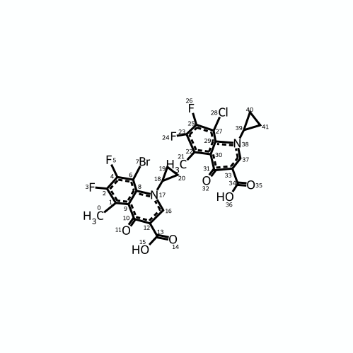 Cc1c(F)c(F)c(Br)c2c1c(=O)c(C(=O)O)cn2C1CC1.Cc1c(F)c(F)c(Cl)c2c1c(=O)c(C(=O)O)cn2C1CC1